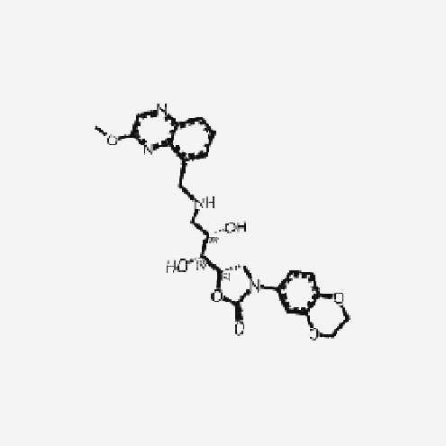 COc1cnc2cccc(CNC[C@H](O)[C@@H](O)[C@@H]3CN(c4ccc5c(c4)OCCO5)C(=O)O3)c2n1